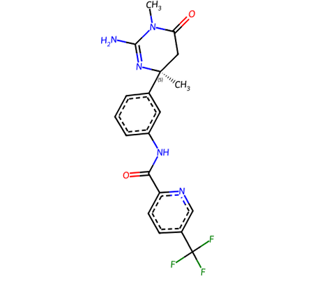 CN1C(=O)C[C@@](C)(c2cccc(NC(=O)c3ccc(C(F)(F)F)cn3)c2)N=C1N